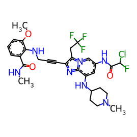 CNC(=O)c1cccc(OC)c1NCC#Cc1nc2c(NC3CCN(C)CC3)cc(NC(=O)C(F)Cl)cn2c1CC(F)(F)F